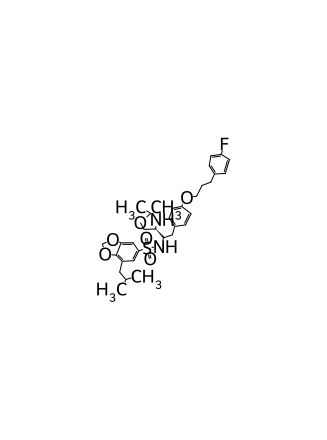 CC(C)Cc1cc(S(=O)(=O)NC(Cc2ccc(OCCCc3ccc(F)cc3)cc2)[C@H]2COC(C)(C)N2)cc2c1OCO2